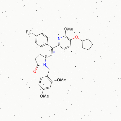 COc1ccc(CN2C(=O)CC[C@@H]2/C=C(\c2ccc(C(F)(F)F)cc2)c2ccc(OC3CCCC3)c(OC)n2)c(OC)c1